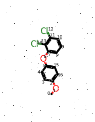 COc1ccc(Oc2cc[c]c(Cl)c2Cl)cc1